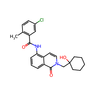 Cc1ccc(Cl)cc1C(=O)Nc1cccc2c(=O)n(CC3(O)CCCCC3)ccc12